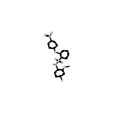 COc1cc(F)ccc1NS(=O)(=O)c1ccccc1Oc1ccc([N+](=O)[O-])cc1